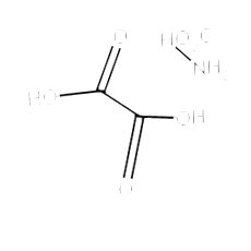 NC(=O)O.O=C(O)C(=O)O